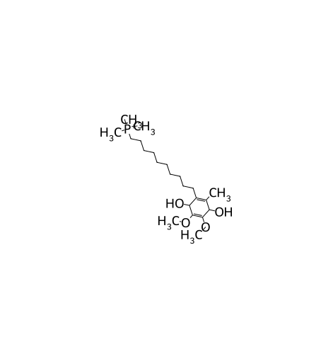 COC1=C(OC)C(O)C(CCCCCCCCCC[P+](C)(C)C)=C(C)C1O